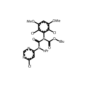 CCCN(C(=O)N(C(=O)OC(C)(C)C)c1c(Cl)c(OC)cc(OC)c1Cl)c1cc(Cl)ncn1